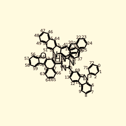 c1ccc(-n2c3ccccc3c3ccc(C4=NC(c5ccc6ccccc6c5)NC(c5c(-n6c7cc8ccccc8cc7c7cc8ccccc8cc76)c6oc7ccccc7c6c6ccccc56)=N4)cc32)cc1